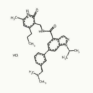 CCCc1cc(C)[nH]c(=O)c1CNC(=O)c1cc(-c2cccc(CN(C)C)c2)cc2c1cnn2C(C)C.Cl